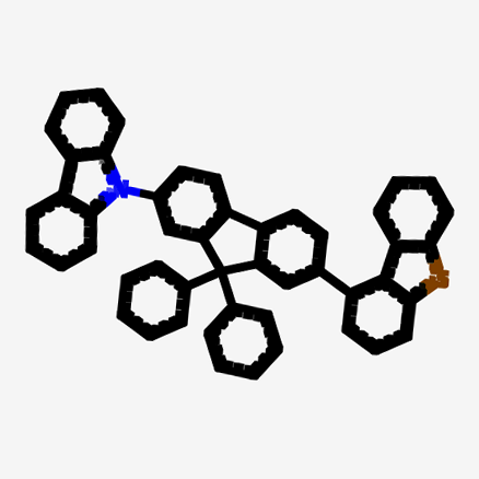 c1ccc(C2(c3ccccc3)c3cc(-c4cccc5sc6ccccc6c45)ccc3-c3ccc(-n4c5ccccc5c5ccccc54)cc32)cc1